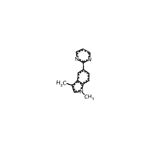 Cc1cn(C)c2ccc(-c3ncccn3)cc12